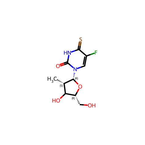 C[C@H]1C(O)[C@@H](CO)O[C@H]1n1cc(F)c(=S)[nH]c1=O